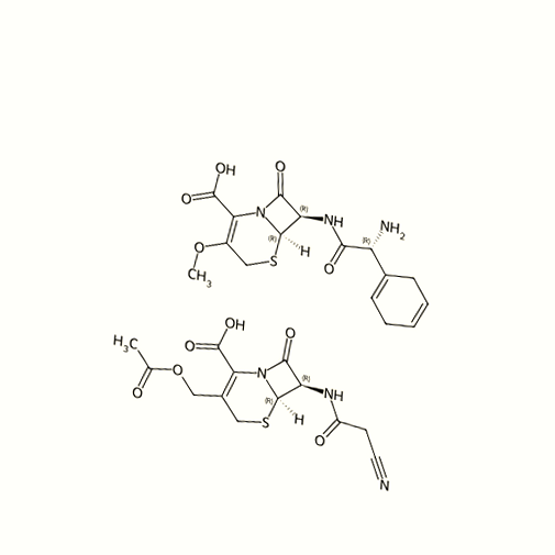 CC(=O)OCC1=C(C(=O)O)N2C(=O)[C@@H](NC(=O)CC#N)[C@H]2SC1.COC1=C(C(=O)O)N2C(=O)[C@@H](NC(=O)[C@H](N)C3=CCC=CC3)[C@H]2SC1